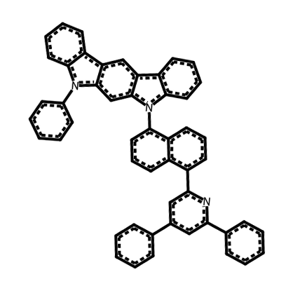 c1ccc(-c2cc(-c3ccccc3)nc(-c3cccc4c(-n5c6ccccc6c6cc7c8ccccc8n(-c8ccccc8)c7cc65)cccc34)c2)cc1